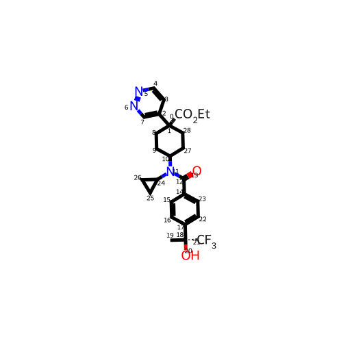 CCOC(=O)C1(c2ccnnc2)CCC(N(C(=O)c2ccc([C@](C)(O)C(F)(F)F)cc2)C2CC2)CC1